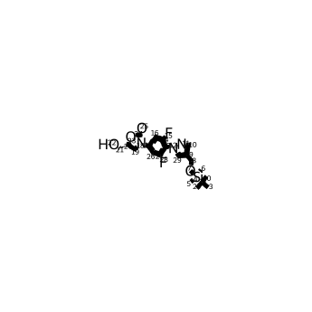 CC(C)(C)[Si](C)(C)OCc1cnn(-c2c(F)cc(N3C[C@H](CO)OC3=O)cc2F)c1